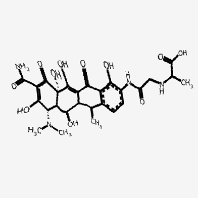 CC(NCC(=O)Nc1ccc2c(c1O)C(=O)C1=C(O)[C@]3(O)C(=O)C(C(N)=O)=C(O)[C@@H](N(C)C)C3C(O)C1C2C)C(=O)O